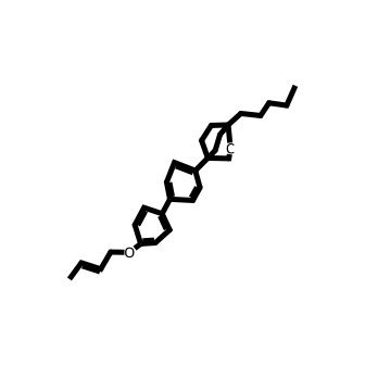 C/C=C/COc1ccc(-c2ccc(C34CCC(CCCCC)(CC3)CC4)cc2)cc1